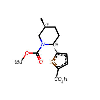 C[C@H]1CC[C@H](c2ccc(C(=O)O)s2)N(C(=O)OC(C)(C)C)C1